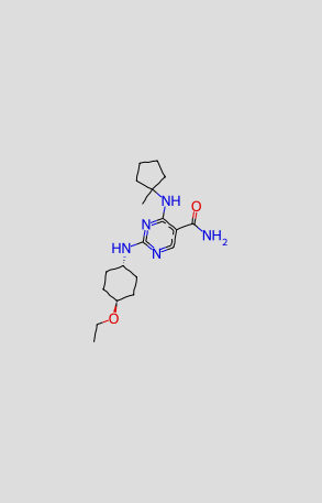 CCO[C@H]1CC[C@H](Nc2ncc(C(N)=O)c(NC3(C)CCCC3)n2)CC1